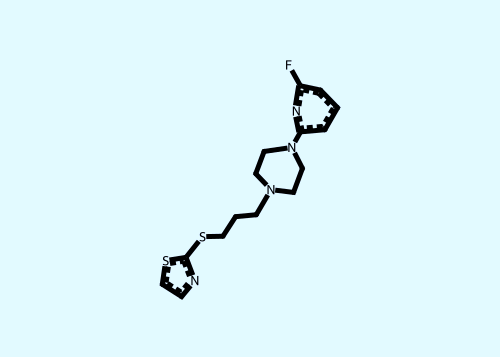 Fc1cccc(N2CCN(CCCSc3nccs3)CC2)n1